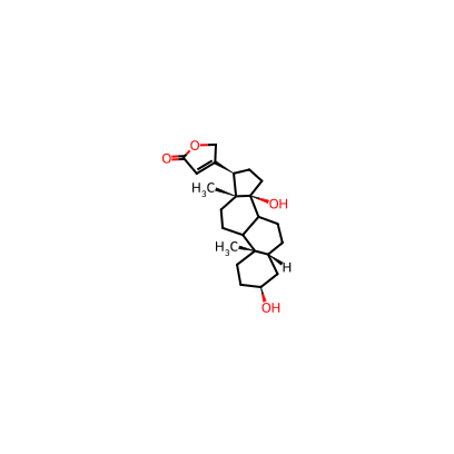 C[C@]12CC[C@H](O)C[C@H]1CCC1C2CC[C@]2(C)[C@@H](C3=CC(=O)OC3)CC[C@]12O